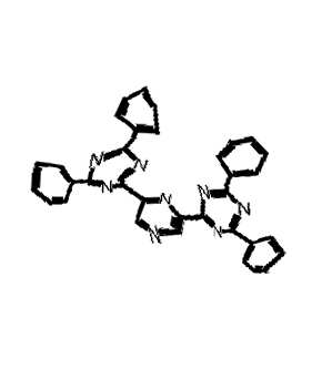 c1ccc(-c2nc(-c3ccccc3)nc(-c3cncc(-c4nc(-c5ccccc5)nc(-c5ccccc5)n4)n3)n2)cc1